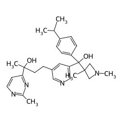 Cc1nccc(C(C)(O)CCc2cncc(C(O)(c3ccc(C(C)C)cc3)C3(C)CN(C)C3)c2)n1